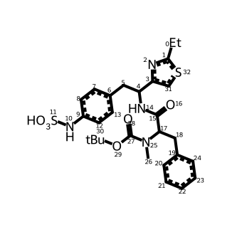 CCc1nc(C(Cc2ccc(NS(=O)(=O)O)cc2)NC(=O)C(Cc2ccccc2)N(C)C(=O)OC(C)(C)C)cs1